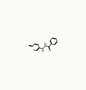 C=C/C=C\C(=C/C)NNC(=O)c1ccccc1